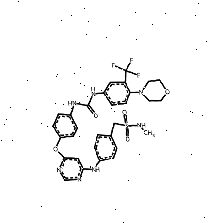 CNS(=O)(=O)Cc1ccc(Nc2cc(Oc3ccc(NC(=O)Nc4ccc(N5CCOCC5)c(C(F)(F)F)c4)cc3)ncn2)cc1